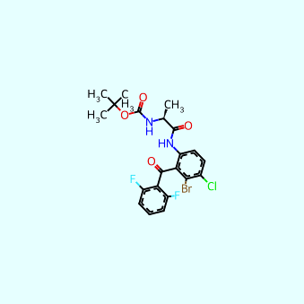 C[C@H](NC(=O)OC(C)(C)C)C(=O)Nc1ccc(Cl)c(Br)c1C(=O)c1c(F)cccc1F